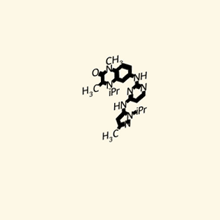 Cc1cc(Nc2ccnc(Nc3ccc4c(c3)N(C(C)C)C(C)C(=O)N4C)n2)n(C(C)C)n1